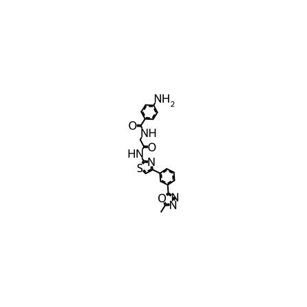 Cc1nnc(-c2cccc(-c3csc(NC(=O)CNC(=O)c4ccc(N)cc4)n3)c2)o1